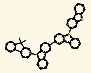 CC1(C)c2ccccc2-c2ccc(-n3c4ccccc4c4cc(-c5ccc6c(c5)c5ccccc5n6-c5ccc6c(c5)oc5ccccc56)ccc43)cc21